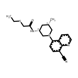 CCSCC(=O)N[C@@H]1C[C@H](C)CN(c2ccc(C#N)c3ncccc23)C1